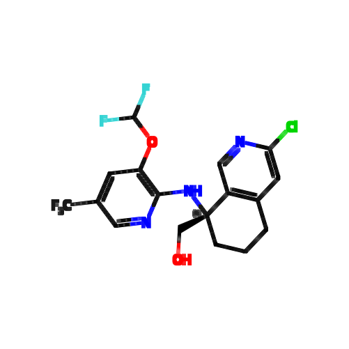 OC[C@]1(Nc2ncc(C(F)(F)F)cc2OC(F)F)CCCc2cc(Cl)ncc21